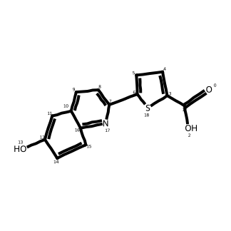 O=C(O)c1ccc(-c2ccc3cc(O)ccc3n2)s1